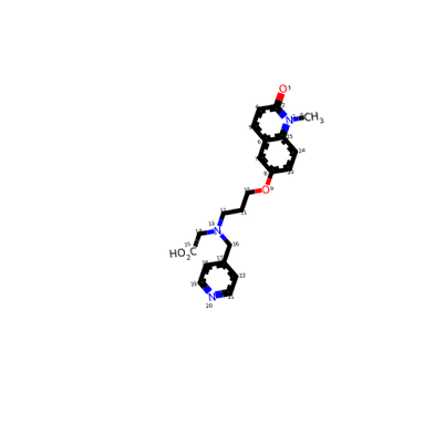 Cn1c(=O)ccc2cc(OCCCN(CC(=O)O)Cc3ccncc3)ccc21